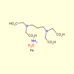 N.O.O=C(O)CN(CCCN(CC(=O)O)CC(=O)O)CC(=O)O.[Fe]